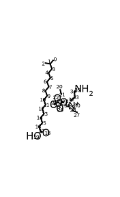 CC(C)CCCCCCCCCCCCCCC(=O)O.CCOS(=O)(=O)[O-].CC[N+](C)(C)CCCN